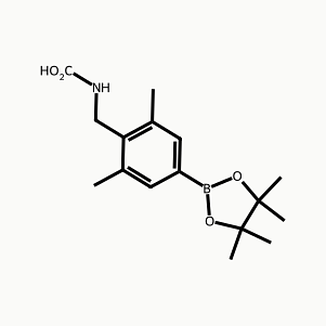 Cc1cc(B2OC(C)(C)C(C)(C)O2)cc(C)c1CNC(=O)O